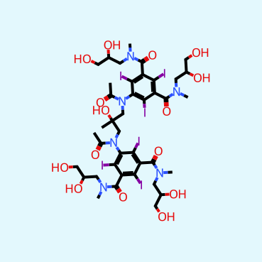 CC(=O)N(CC(C)(O)CN(C(C)=O)c1c(I)c(C(=O)N(C)CC(O)CO)c(I)c(C(=O)N(C)CC(O)CO)c1I)c1c(I)c(C(=O)N(C)CC(O)CO)c(I)c(C(=O)N(C)CC(O)CO)c1I